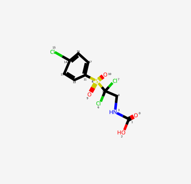 O=C(O)NCC(Cl)(Cl)S(=O)(=O)c1ccc(Cl)cc1